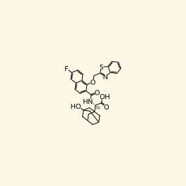 O=C(N[C@H](C(=O)O)C12CC3CC(CC(O)(C3)C1)C2)c1ccc2cc(F)ccc2c1OCc1nc2ccccc2s1